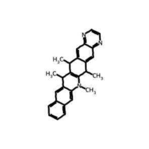 CC1C2=C(C(C)c3cc4nccnc4cc31)N(C)c1cc3ccccc3cc1C2C